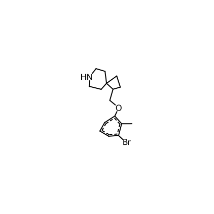 Cc1c(Br)cccc1OCC1CCC12CCNCC2